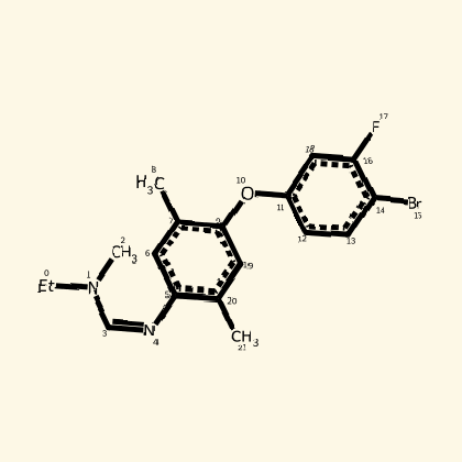 CCN(C)/C=N\c1cc(C)c(Oc2ccc(Br)c(F)c2)cc1C